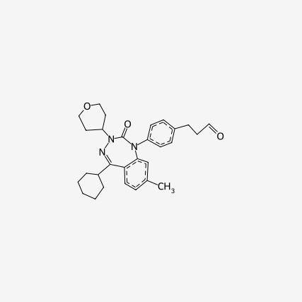 Cc1ccc2c(c1)N(c1ccc(CCC=O)cc1)C(=O)N(C1CCOCC1)N=C2C1CCCCC1